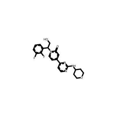 O=c1cc(-c2ccnc(NC3CCOCC3)n2)ccn1C(CO)c1cccc(F)c1F